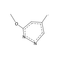 [CH2]c1cnnc(OC)c1